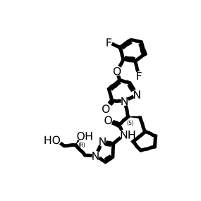 O=C(Nc1ccn(C[C@@H](O)CO)n1)[C@H](CC1CCCC1)n1ncc(Oc2c(F)cccc2F)cc1=O